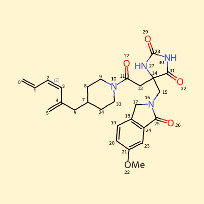 C=C/C=C\C(=C)CC1CCN(C(=O)CC2(CN3Cc4ccc(OC)cc4C3=O)NC(=O)NC2=O)CC1